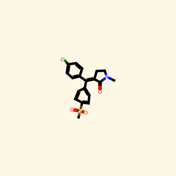 CN1CCC(=C(c2ccc(Cl)cc2)c2ccc(S(C)(=O)=O)cc2)C1=O